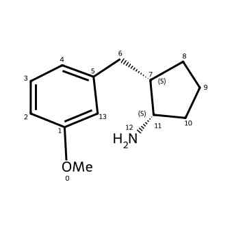 COc1cccc(C[C@@H]2CCC[C@@H]2N)c1